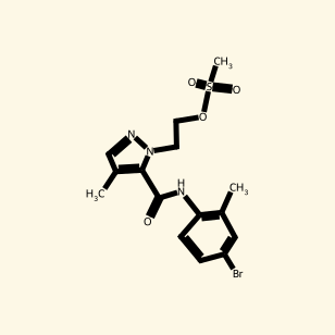 Cc1cc(Br)ccc1NC(=O)c1c(C)cnn1CCOS(C)(=O)=O